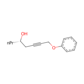 CCC[C@H](O)CC#CCOc1ccccc1